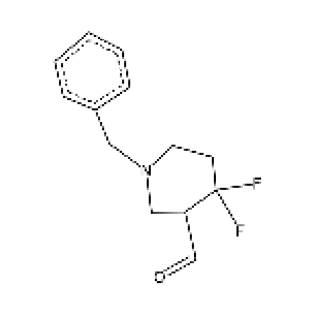 O=CC1CN(Cc2ccccc2)CCC1(F)F